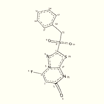 O=c1cc(F)n2nc(S(=O)(=O)Cc3ccccc3)sc2n1